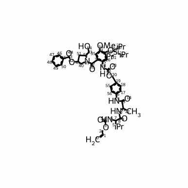 C=CCOC(=O)NC(C(=O)NC(C)C(=O)Nc1ccc(COC(=O)Nc2cc(O[Si](C(C)C)(C(C)C)C(C)C)c(OC)cc2C(=O)N2CC(OC(=O)c3ccccc3)CC2CO)cc1)C(C)C